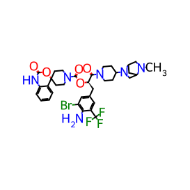 CN1CC2CC1CN2C1CCN(C(=O)[C@@H](Cc2cc(Br)c(N)c(C(F)(F)F)c2)OC(=O)N2CCC3(CC2)OC(=O)Nc2ccccc23)CC1